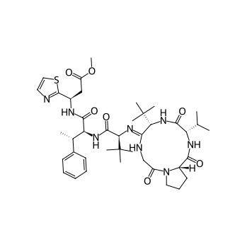 COC(=O)C[C@@H](NC(=O)[C@@H](NC(=O)[C@@H](/N=C1\NCC(=O)N2CCC[C@H]2C(=O)N[C@@H](C(C)C)C(=O)N[C@H]1C(C)(C)C)C(C)(C)C)[C@@H](C)c1ccccc1)c1nccs1